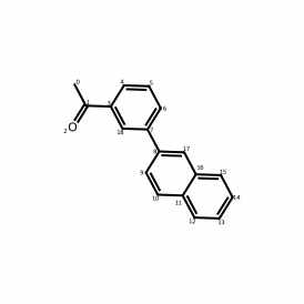 CC(=O)c1cccc(-c2ccc3ccccc3c2)c1